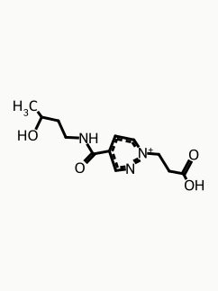 CC(O)CCNC(=O)c1cc[n+](CCC(=O)O)nc1